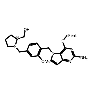 CCCCCSc1nc(N)nc2ccn(Cc3ccc(CN4CCC[C@H]4CO)cc3OC)c12